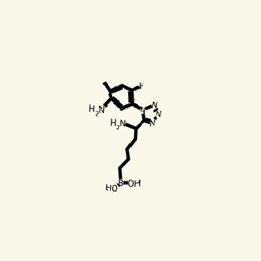 Cc1cc(F)c(-n2nnnc2C(N)CCCCB(O)O)cc1N